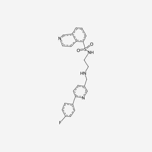 O=S(=O)(NCCNCc1ccc(-c2ccc(F)cc2)nc1)c1cccc2cnccc12